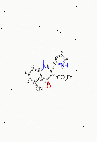 CCOC(=O)c1c(-c2ccc[nH]2)[nH]c2cccc(C#N)c2c1=O